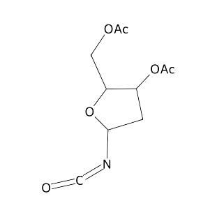 CC(=O)OCC1OC(N=C=O)CC1OC(C)=O